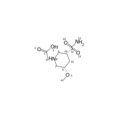 CC(=O)O.CO[C@@H]1CNC[C@H](S(N)(=O)=O)C1